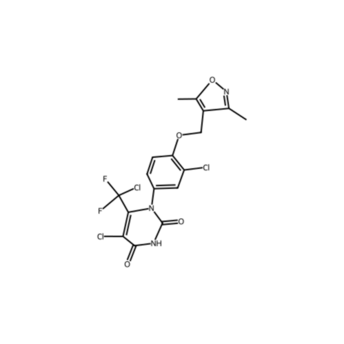 Cc1noc(C)c1COc1ccc(-n2c(C(F)(F)Cl)c(Cl)c(=O)[nH]c2=O)cc1Cl